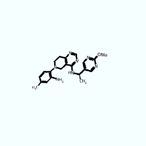 COc1ncc([C@@H](C)Nc2ncnc3c2CN(c2ccc(C)cc2N)CC3)cn1